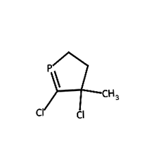 CC1(Cl)CCP=C1Cl